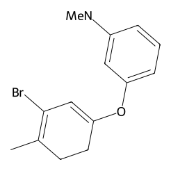 CNc1cccc(OC2=CC(Br)=C(C)CC2)c1